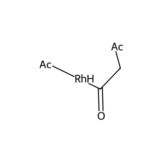 CC(=O)C[C](=O)[RhH][C](C)=O